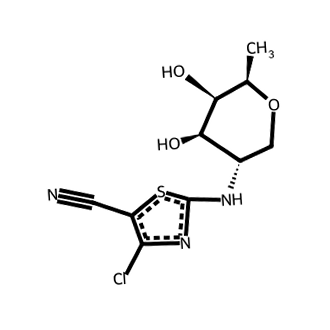 C[C@H]1OC[C@H](Nc2nc(Cl)c(C#N)s2)[C@@H](O)[C@H]1O